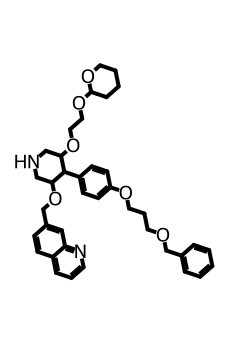 c1ccc(COCCCOc2ccc(C3C(OCCOC4CCCCO4)CNCC3OCc3ccc4cccnc4c3)cc2)cc1